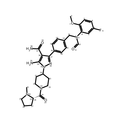 COc1ccc(F)cc1N(C=O)Cc1ccc(-c2nn(C3CCN(C(=O)[C@@H]4CCCN4C)CC3)c(N)c2C(N)=O)cc1